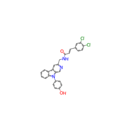 O=C(/C=C/c1ccc(Cl)c(Cl)c1)NCc1cc2c3ccccc3n(-c3ccc(O)cc3)c2cn1